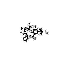 CCN1CCC[C@H]1CNC(=O)c1cc(S(N)(=O)=O)ccc1OC.NCC(=O)O